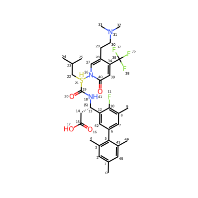 Cc1cc(C)c(-c2cc(C)c(F)c([C@H](CC(=O)O)NC(=O)[SH](CC(C)C)n3cc(CCN(C)C)c(C(F)(F)F)cc3=O)c2)c(C)c1